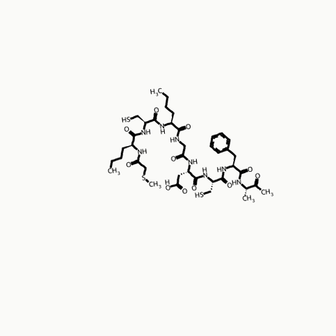 CCCC[C@H](NC(=O)CSC)C(=O)N[C@@H](CS)C(=O)N[C@@H](CCCC)C(=O)NCC(=O)N[C@@H](CC(=O)O)C(=O)N[C@@H](CS)C(=O)N[C@@H](Cc1ccccc1)C(=O)N[C@@H](C)C(C)=O